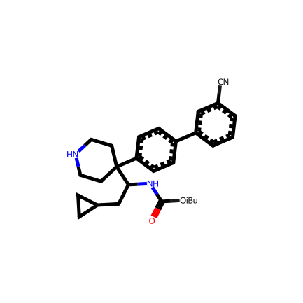 CC(C)COC(=O)NC(CC1CC1)C1(c2ccc(-c3cccc(C#N)c3)cc2)CCNCC1